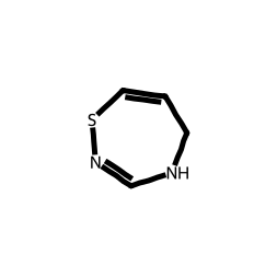 C1=CSN=CNC1